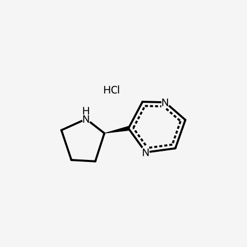 Cl.c1cnc([C@H]2CCCN2)cn1